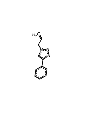 C=CCn1cc(-c2ccccc2)nn1